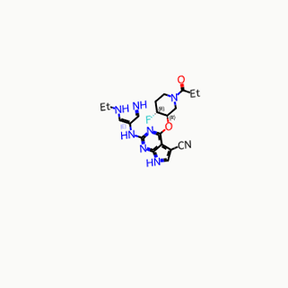 CCN/C=C(\C=N)Nc1nc(O[C@@H]2CN(C(=O)CC)CC[C@H]2F)c2c(C#N)c[nH]c2n1